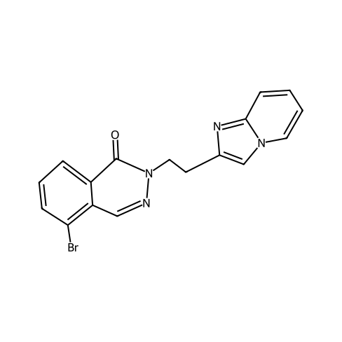 O=c1c2cccc(Br)c2cnn1CCc1cn2ccccc2n1